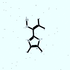 CCOC(=C(C)C)c1nc(C)c(C)s1